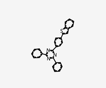 c1ccc(-c2nc(-c3ccccc3)nc(-c3ccc(-c4cc5ccccc5s4)cc3)n2)cc1